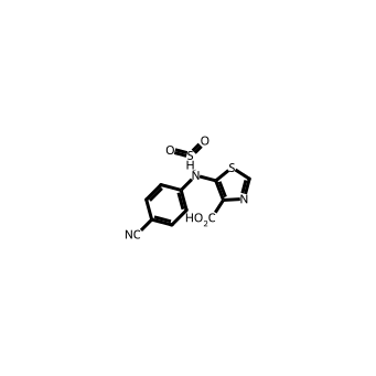 N#Cc1ccc(N(c2scnc2C(=O)O)[SH](=O)=O)cc1